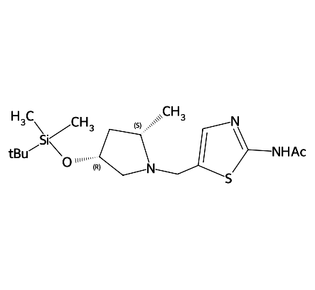 CC(=O)Nc1ncc(CN2C[C@H](O[Si](C)(C)C(C)(C)C)C[C@@H]2C)s1